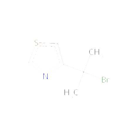 CC(C)(Br)c1cscn1